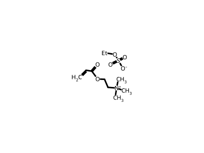 C=CC(=O)OCC[N+](C)(C)C.CCOS(=O)(=O)[O-]